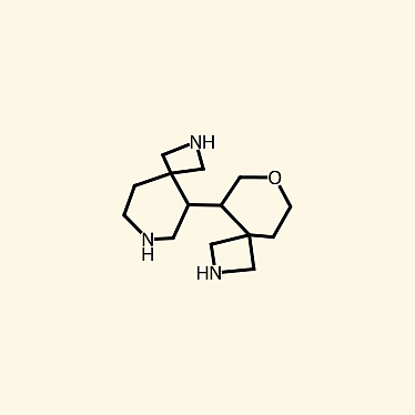 C1CC2(CNC2)C(C2COCCC23CNC3)CN1